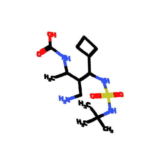 CC(NC(=O)O)C(CN)C(NS(=O)(=O)NC(C)(C)C)C1CCC1